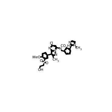 COc1ccc(-c2c(C)nn3c(N(Cc4cccc(-c5nccn5C)c4)C(=O)O)cc(Cl)nc23)cc1S(=O)(=O)CCO